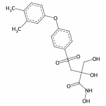 Cc1ccc(Oc2ccc(S(=O)(=O)CC(O)(CO)C(=O)NO)cc2)cc1C